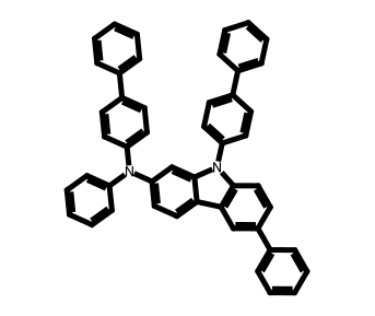 c1ccc(-c2ccc(N(c3ccccc3)c3ccc4c5cc(-c6ccccc6)ccc5n(-c5ccc(-c6ccccc6)cc5)c4c3)cc2)cc1